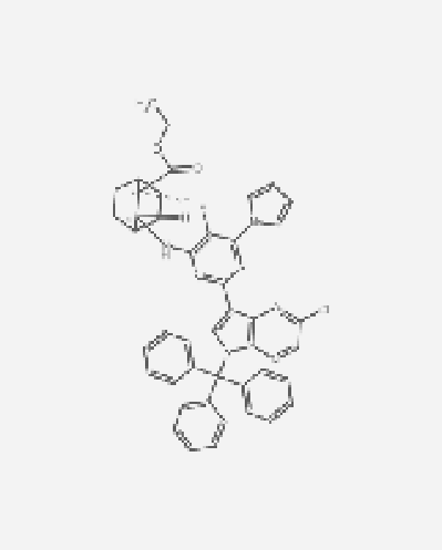 CCOC(=O)[C@@H]1C2CCC(CC2)[C@H]1Nc1nc(-c2cn(C(c3ccccc3)(c3ccccc3)c3ccccc3)c3ncc(Cl)nc23)nc(-n2cccc2)c1F